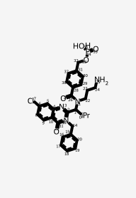 CC(C)C(c1nc2cc(Cl)ccc2c(=O)n1Cc1ccccc1)N(CCCN)C(=O)c1ccc(CO[PH](=O)O)cc1